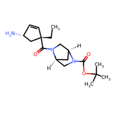 CC[C@]1(C(=O)N2C[C@@H]3C[C@H]2CN3C(=O)OC(C)(C)C)C=C[C@@H](N)C1